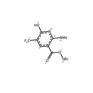 CCCCOC(=O)c1cc(C(F)(F)F)c(O)nc1NC